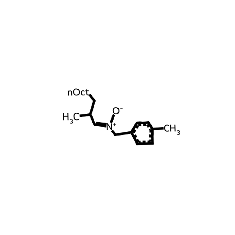 CCCCCCCCCC(C)C=[N+]([O-])Cc1ccc(C)cc1